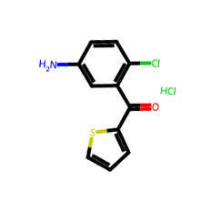 Cl.Nc1ccc(Cl)c(C(=O)c2cccs2)c1